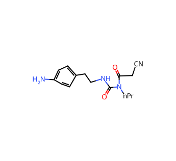 CCCN(C(=O)CC#N)C(=O)NCCc1ccc(N)cc1